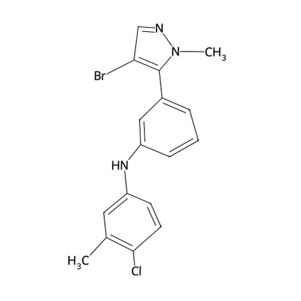 Cc1cc(Nc2cccc(-c3c(Br)cnn3C)c2)ccc1Cl